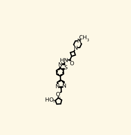 CN1CCN(C2CC(C(=O)Nc3nc4ccc(-c5cnc(CO[C@H]6CCC[C@@H]6O)nc5)cc4s3)C2)CC1